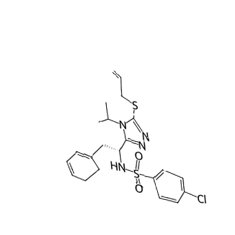 C=CCSc1nnc([C@@H](CC2=CC=CCC2)NS(=O)(=O)c2ccc(Cl)cc2)n1C(C)C